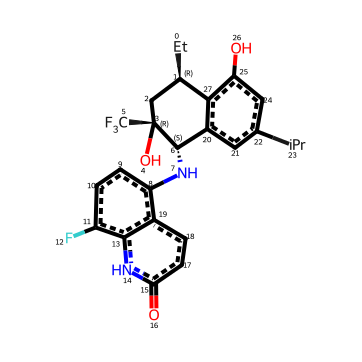 CC[C@@H]1C[C@](O)(C(F)(F)F)[C@@H](Nc2ccc(F)c3[nH]c(=O)ccc23)c2cc(C(C)C)cc(O)c21